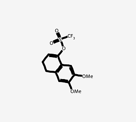 COc1cc2c(cc1OC)C(OS(=O)(=O)C(F)(F)F)=CCC2